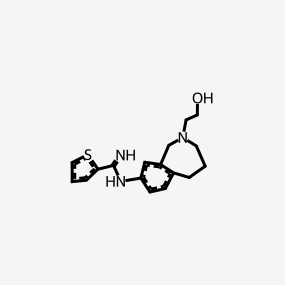 N=C(Nc1ccc2c(c1)CN(CCO)CCC2)c1cccs1